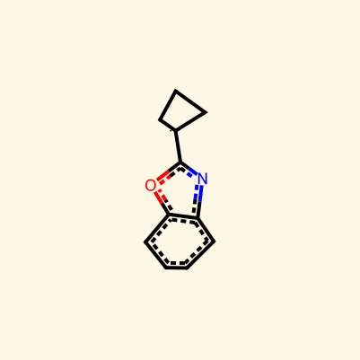 c1ccc2oc([C]3CCC3)nc2c1